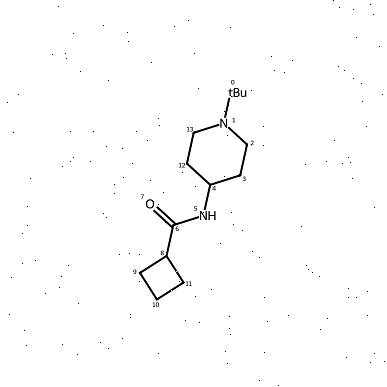 CC(C)(C)N1CCC(NC(=O)C2CCC2)CC1